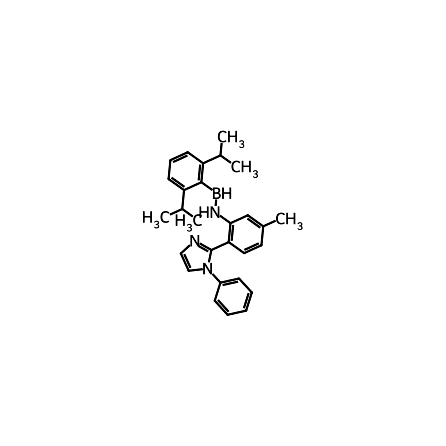 Cc1ccc(-c2nccn2-c2ccccc2)c(NBc2c(C(C)C)cccc2C(C)C)c1